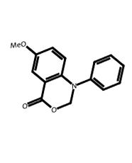 COc1ccc2c(c1)C(=O)OCN2c1ccccc1